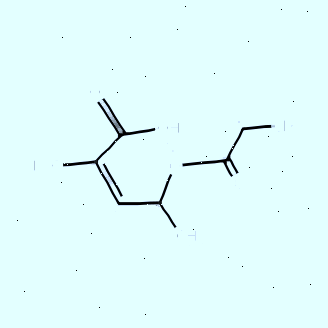 CC(=CC(C)OC(=O)CCl)C(=O)O